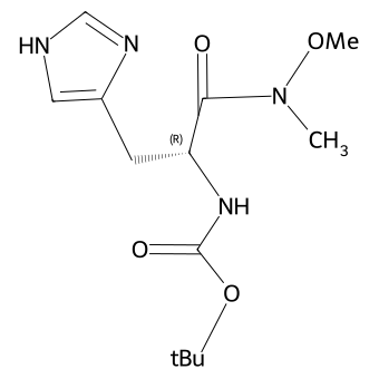 CON(C)C(=O)[C@@H](Cc1c[nH]cn1)NC(=O)OC(C)(C)C